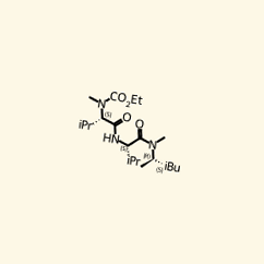 CCOC(=O)N(C)[C@H](C(=O)N[C@H](C(=O)N(C)[C@H](C)[C@@H](C)CC)C(C)C)C(C)C